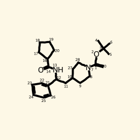 C=C(OC(C)(C)C)N1CCC(CC(NC(=O)C2CCCC2)c2ccccc2)CC1